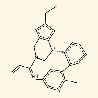 C=CC(=N)N1Cc2sc(CC)cc2[C@H](c2ccccc2-c2cc(C)cnc2C)C1